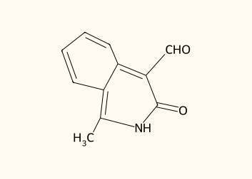 Cc1[nH]c(=O)c(C=O)c2ccccc12